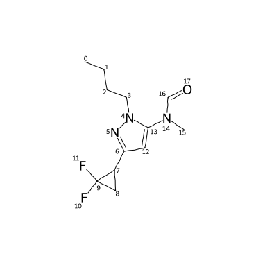 CCCCn1nc(C2CC2(F)F)cc1N(C)C=O